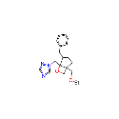 CCOCC12CCC(Cc3ccccc3)C1(Cn1cncn1)OC2